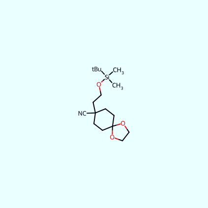 CC(C)(C)[Si](C)(C)OCCC1(C#N)CCC2(CC1)OCCO2